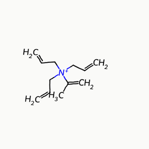 C=CC[N+](CC=C)(CC=C)C(=C)C